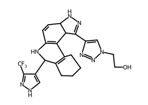 OCCn1cc(C2=NNC3C=CC4=C(C5=C(CCCC5)C(c5c[nH]nc5C(F)(F)F)N4)C23)nn1